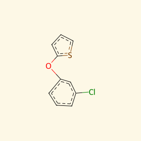 Clc1cccc(Oc2cccs2)c1